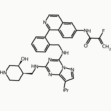 C=C(F)C(=O)Nc1ccc2c(-c3ccccc3CNc3nc(NC[C@H]4CCNC[C@H]4O)nc4c(C(C)C)cnn34)nccc2c1